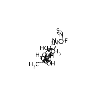 CCC[C@@H]1O[C@@H]2C[C@H]3[C@@H]4CCC5=Cc6c(cnn6-c6ccc(F)c(CN7CCSCC7)c6)C[C@]5(C)[C@H]4[C@@H](O)C[C@]3(C)[C@]2(C(=O)CO)O1